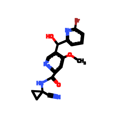 COc1cc(C(=O)NC2(C#N)CC2)ncc1C(O)c1cccc(Br)n1